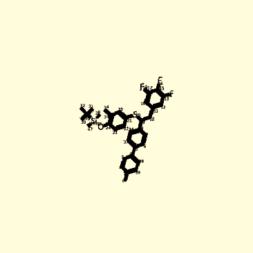 Cc1ccc(-c2ccc(C(Cc3cc(F)c(F)c(F)c3)Sc3ccc(O[Si](C)(C)C(C)(C)C)c(C)c3)cc2)cc1